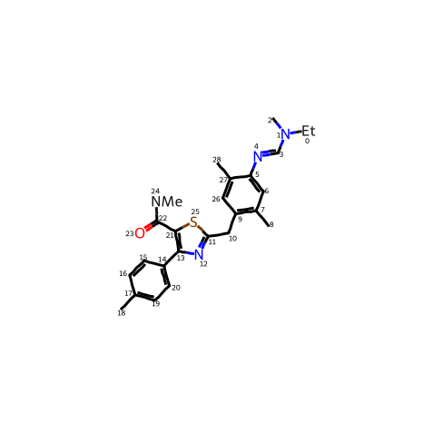 CCN(C)C=Nc1cc(C)c(Cc2nc(-c3ccc(C)cc3)c(C(=O)NC)s2)cc1C